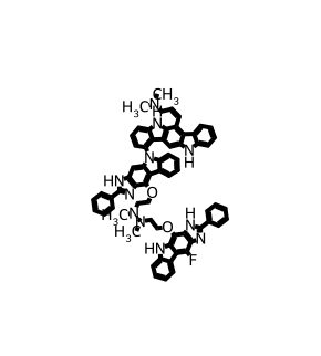 CN(C)C/C=C\c1c2[nH]c3cccc(-n4c5ccccc5c5c(OCCN(C)N(C)CCOc6c7[nH]c(-c8ccccc8)nc7c(F)c7c6[nH]c6ccccc67)c6nc(-c7ccccc7)[nH]c6cc54)c3c2cc2[nH]c3ccccc3c12